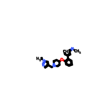 C=C/C(=C\C=N/C)c1ccccc1OC1CCN(Cc2cnn(C)c2)CC1